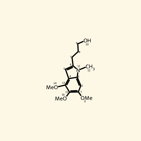 COc1cc2c(cc(CCCO)n2C)c(OC)c1OC